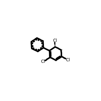 ClC1=CC(Cl)=C(c2ccccc2)[C@@H](Cl)[CH]1